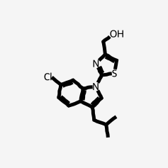 CC(C)Cc1cn(-c2nc(CO)cs2)c2cc(Cl)ccc12